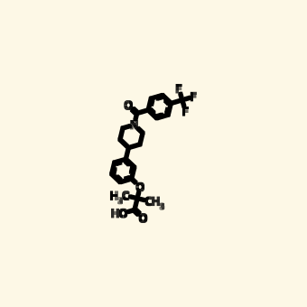 CC(C)(Oc1cccc(C2CCN(C(=O)c3ccc(C(F)(F)F)cc3)CC2)c1)C(=O)O